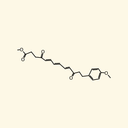 COC(=O)CCC(=O)C=CC=CC=CC(=O)CCc1ccc(OC)cc1